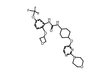 O=C(Nc1cc(OC(F)(F)F)ccc1OC1COC1)NC1CCC(Oc2ccnc(N3CCOCC3)n2)CC1